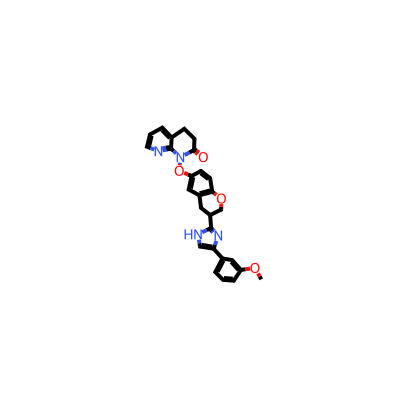 COc1cccc(-c2c[nH]c(C3COc4ccc(ON5C(=O)CCc6cccnc65)cc4C3)n2)c1